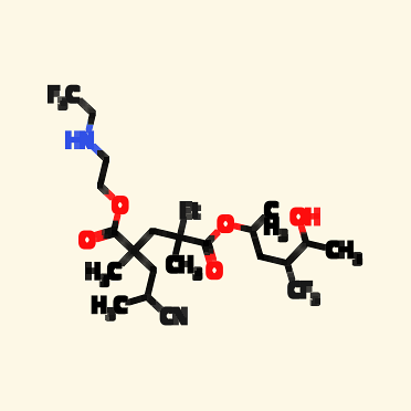 CCC(C)(CC(C)(CC(C)C#N)C(=O)OCCNCC(F)(F)F)C(=O)OC(C)CC(C(C)O)C(F)(F)F